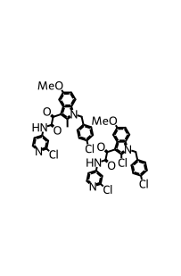 COc1ccc2c(c1)c(C(=O)C(=O)Nc1ccnc(Cl)c1)c(C)n2Cc1ccc(Cl)cc1.COc1ccc2c(c1)c(C(=O)C(=O)Nc1ccnc(Cl)c1)c(Cl)n2Cc1ccc(Cl)cc1